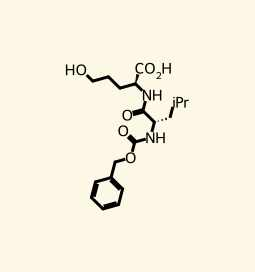 CC(C)C[C@H](NC(=O)OCc1ccccc1)C(=O)N[C@@H](CCCO)C(=O)O